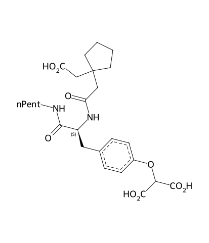 CCCCCNC(=O)[C@H](Cc1ccc(OC(C(=O)O)C(=O)O)cc1)NC(=O)CC1(CC(=O)O)CCCC1